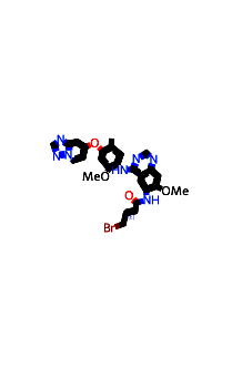 COc1cc2ncnc(Nc3cc(C)c(Oc4ccn5ncnc5c4)cc3OC)c2cc1NC(=O)/C=C/CBr